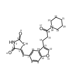 O=C1NC(=O)C(=Cc2ccc3occ(CCC(=O)N4CCCCC4)c3c2)S1